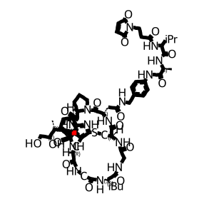 CC[C@H](C)[C@@H]1NC(=O)CNC(=O)[C@H]2Cc3c([nH]c4ccccc34)SC[C@H](NC(=O)CNC1=O)C(=O)N[C@@H](CC(=O)NCc1ccc(NC(=O)[C@H](C)NC(=O)C(NC(=O)CCN3C(=O)C=CC3=O)C(C)C)cc1)C(=O)N1CCC[C@H]1C(=O)N[C@@H]([C@@H](C)[C@@H](O)CO)C(=O)N2